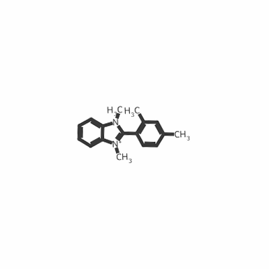 Cc1ccc(-c2n(C)c3ccccc3[n+]2C)c(C)c1